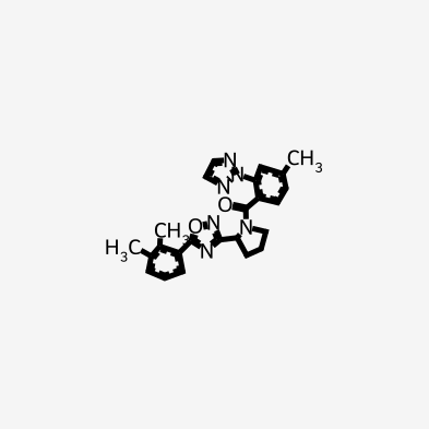 Cc1ccc(C(=O)N2CCCC2c2noc(-c3cccc(C)c3C)n2)c(-n2nccn2)c1